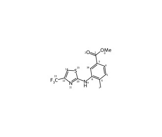 COC(=O)c1ccc(C)c(Nc2nc(C(F)(F)F)cs2)c1